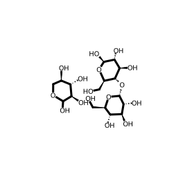 OC1OC[C@@H](O)[C@H](O)[C@H]1O.OC[C@H]1O[C@H](O[C@H]2[C@H](O)[C@@H](O)[C@H](O)O[C@@H]2CO)[C@H](O)[C@@H](O)[C@@H]1O